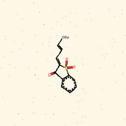 COC=CC=C1C(=O)c2ccccc2S1(=O)=O